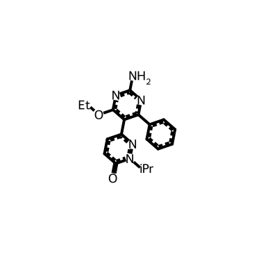 CCOc1nc(N)nc(-c2ccccc2)c1-c1ccc(=O)n(C(C)C)n1